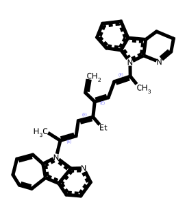 C=CC(=C\C=C(/C)n1c2c(c3ccccc31)CCC=N2)/C(=C/C=C(\C)n1c2c(c3cccnc31)C=CCC=C2)CC